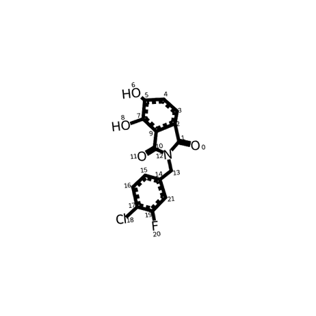 O=C1c2ccc(O)c(O)c2C(=O)N1Cc1ccc(Cl)c(F)c1